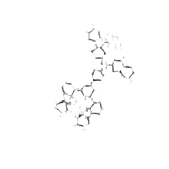 CC1(C)c2ccccc2-c2ccc(N(c3ccc(-c4cc(-c5cccc6c5oc5ccccc56)cc(-c5cccc6c5oc5ccccc56)c4)cc3)c3ccc4ccccc4c3)cc21